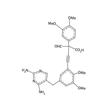 COc1ccc(C(C#Cc2cc(Cc3cnc(N)nc3N)cc(OC)c2OC)(C=O)C(=O)O)cc1OC